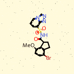 COc1ccc(Br)c2c1C(C(=O)NS(=O)(=O)c1cccn3cnnc13)CC2